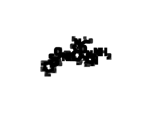 C=CC(=O)N(C)Cc1cc(-c2ccnc(N)n2)ccc1CNC(=O)c1cc2c(s1)CCCC2